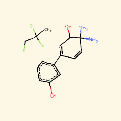 FCC(F)(F)C(F)(F)F.NC1(N)C=CC(c2cccc(O)c2)=CC1O